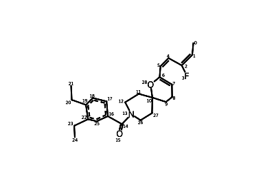 C/C=C(F)\C=C/C1=CCCC2(CCN(C(=O)c3ccc(CC)c(CC)c3)CC2)O1